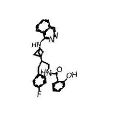 O=C(NCC(Cc1ccc(F)cc1)C12CC(Nc3nncc4ccccc34)(C1)C2)c1ccccc1O